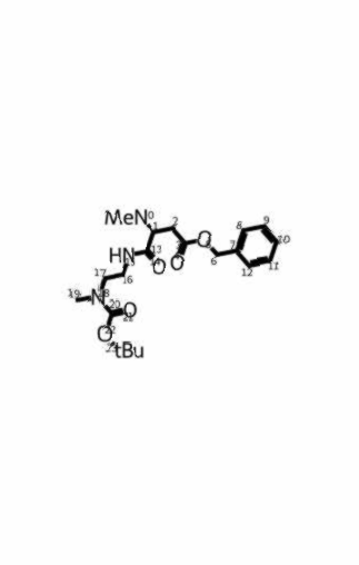 CN[C@@H](CC(=O)OCc1ccccc1)C(=O)NCCN(C)C(=O)OC(C)(C)C